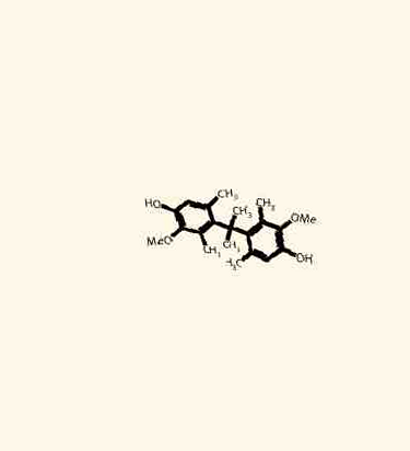 COc1c(O)cc(C)c(C(C)(C)c2c(C)cc(O)c(OC)c2C)c1C